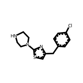 Clc1ccc(Cc2csc(N3CCNCC3)n2)cc1